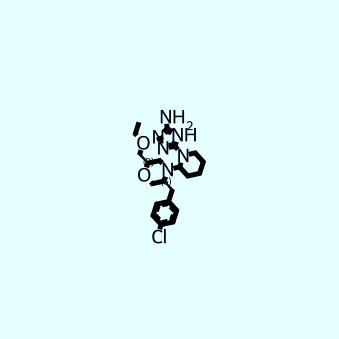 CCOC[C@H]1CN(C2CCCCN2c2nnc(N)[nH]2)[C@@H](Cc2ccc(Cl)cc2)CO1